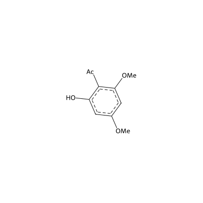 COc1cc(O)c(C(C)=O)c(OC)c1